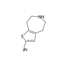 CC(C)c1cc2c(s1)CCNCC2